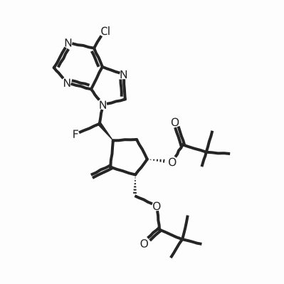 C=C1[C@@H](COC(=O)C(C)(C)C)[C@@H](OC(=O)C(C)(C)C)C[C@@H]1C(F)n1cnc2c(Cl)ncnc21